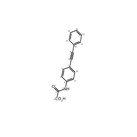 O=C(O)C(=O)Nc1ccc(C#Cc2ccccc2)cc1